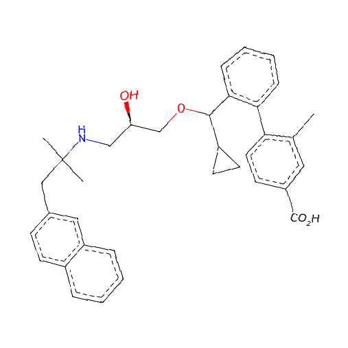 Cc1cc(C(=O)O)ccc1-c1ccccc1C(OC[C@H](O)CNC(C)(C)Cc1ccc2ccccc2c1)C1CC1